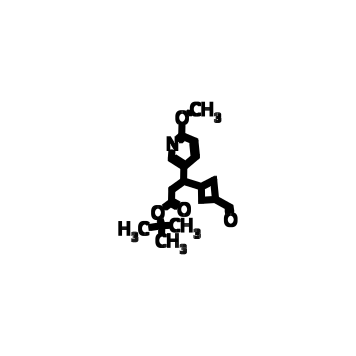 COc1ccc(C(CC(=O)OC(C)(C)C)C2CC(C=O)C2)cn1